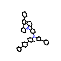 Cc1cc(-c2ccc(-c3ccccc3)cc2)ccc1N(c1ccc(-c2ccccc2)cc1)c1ccc2c3ccccc3n(-c3ccccc3-c3ccc(-c4ccccc4)cc3)c2c1